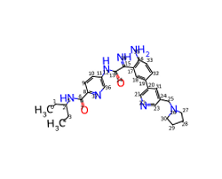 CCC(CC)NC(=O)c1ccc(NC(=O)C(=N)c2cc(-c3cncc(CN4CCCC4)c3)ccc2N)cn1